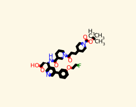 CC(C)(C)OC(=O)N1CCC(CCC(=O)N2CCCC(C(=O)N[C@H](CC(=O)O)c3cncc(-c4cccc(OCCF)c4)c3)C2)CC1